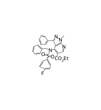 CCOC(=O)c1cnc2c(c(-c3ccccc3)nn2C)c1N(Cc1ccccc1)S(=O)(=O)c1ccc(F)cc1